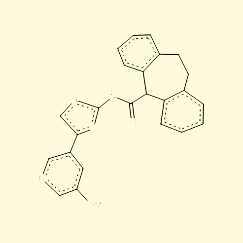 COc1cncc(-c2cnc(NC(=O)C3c4ccccc4CCc4ccccc43)s2)c1